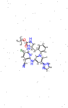 Cc1ncc(Nc2nc(N[C@@H](CNC(=O)OC(C)(C)C)Cc3ccccc3)c(F)cc2C#N)cc1-n1nccn1